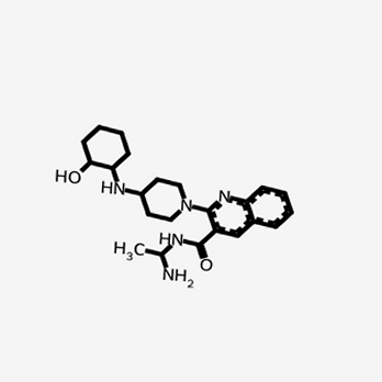 CC(N)NC(=O)c1cc2ccccc2nc1N1CCC(NC2CCCCC2O)CC1